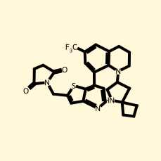 O=C1CCC(=O)N1Cc1cc2nccc(-c3cc(C(F)(F)F)cc4c3N(C3CNC5(CCC5)C3)CCC4)c2s1